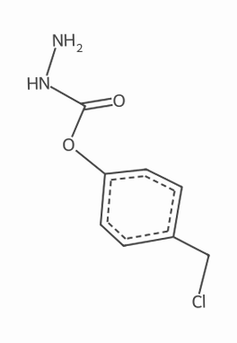 NNC(=O)Oc1ccc(CCl)cc1